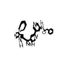 O=C(Cc1ccccc1)Nc1cncc(-c2cc3c(-c4cc5c(N6CCCCC6)cncc5[nH]4)n[nH]c3cn2)c1